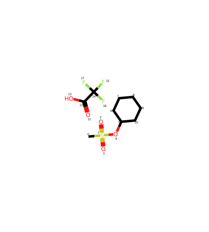 CS(=O)(=O)OC1CCCCC1.O=C(O)C(F)(F)F